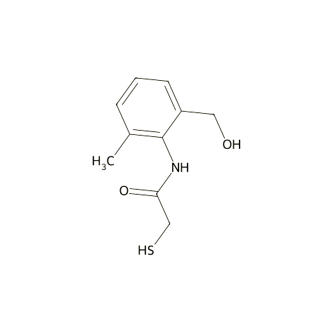 Cc1cccc(CO)c1NC(=O)CS